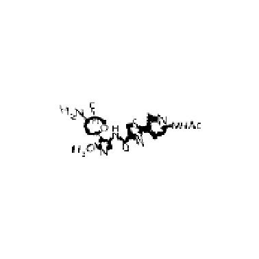 CC(=O)Nc1ccc(-c2nc(C(=O)Nc3cnn(C)c3[C@@H]3CC[C@@H](N)[C@H](F)CO3)cs2)cn1